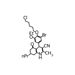 CCCC1CC(=O)C2=C(C1)NC(C)=C(C#N)C2c1cc(Br)c(OCCCCCCl)c(OCC)c1